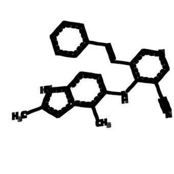 Cc1cc2c(C)c(Nc3c(C#N)cncc3C=Cc3ccccc3)ccc2[nH]1